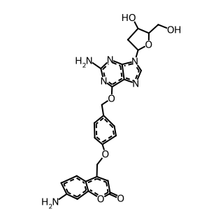 Nc1ccc2c(COc3ccc(COc4nc(N)nc5c4ncn5C4CC(O)C(CO)O4)cc3)cc(=O)oc2c1